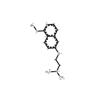 CC(C)Oc1nccc2cc(OCCN(C)C)ccc12